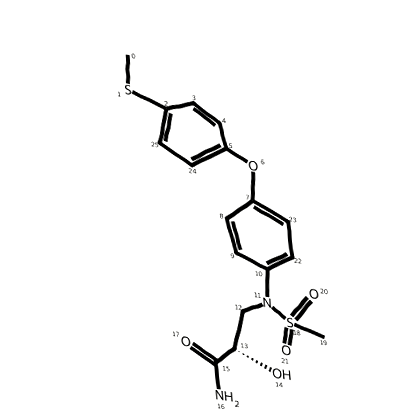 CSc1ccc(Oc2ccc(N(C[C@H](O)C(N)=O)S(C)(=O)=O)cc2)cc1